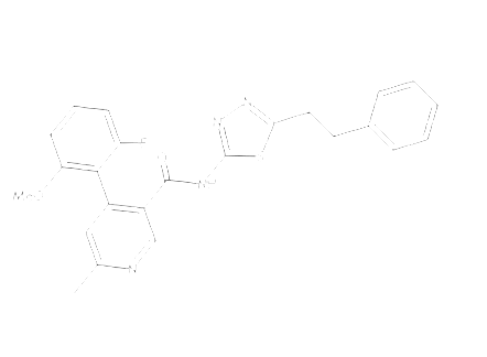 COc1cccc(F)c1-c1cc(C)ncc1C(=O)Nc1nnc(CCc2ccccc2)s1